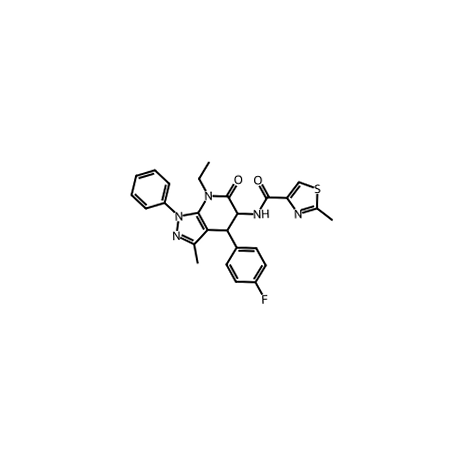 CCN1C(=O)C(NC(=O)c2csc(C)n2)C(c2ccc(F)cc2)c2c(C)nn(-c3ccccc3)c21